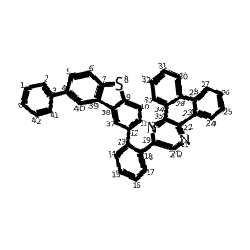 c1ccc(-c2ccc3sc4ccc(-c5ccccc5-c5cnc6c7ccccc7c7ccccc7c6n5)cc4c3c2)cc1